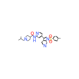 Cc1ccc(S(=O)(=O)n2cc(-c3ccnc(NC(=O)C4CCN(CC(C)C)CC4)c3)c3ccncc32)cc1